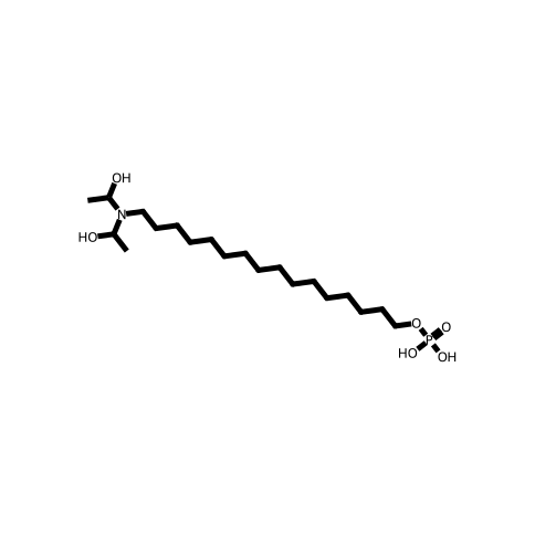 CC(O)N(CCCCCCCCCCCCCCCCOP(=O)(O)O)C(C)O